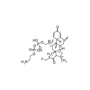 C[C@@H]1C[C@H]2[C@@H]3C[C@H](F)C4=CC(=O)C=C[C@]4(C)[C@@]3(F)[C@@H](OCOP(=O)(O)OP(=O)(O)OCCN)C[C@@]2(C)[C]1C(=O)SCF